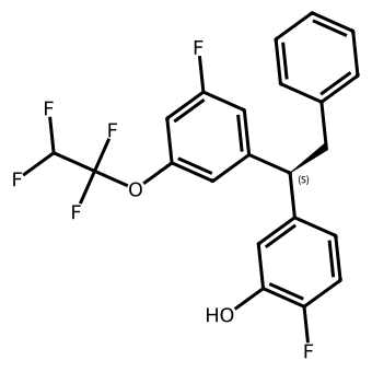 Oc1cc([C@H](Cc2ccccc2)c2cc(F)cc(OC(F)(F)C(F)F)c2)ccc1F